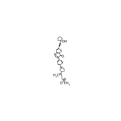 CN(CCS(C)(=O)=O)[C@@H]1CCN(c2ccc(-n3cnc4cc(C#CC5(O)CCCC5)sc4c3=O)cc2)C1